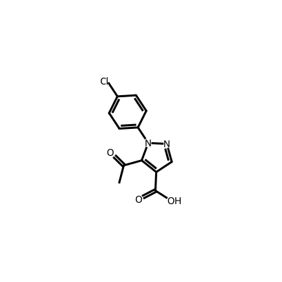 CC(=O)c1c(C(=O)O)cnn1-c1ccc(Cl)cc1